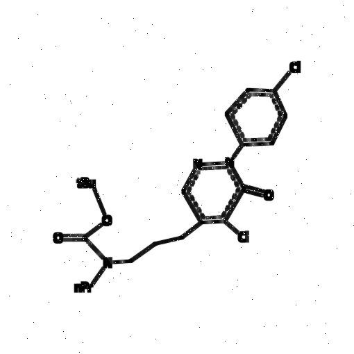 CCCN(CCCc1cnn(-c2ccc(Cl)cc2)c(=O)c1Cl)C(=O)OC(C)(C)C